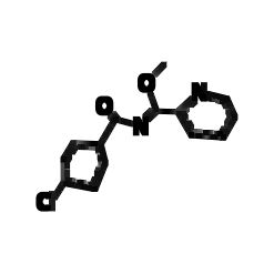 COC(=NC(=O)c1ccc(Cl)cc1)c1ccccn1